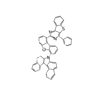 c1ccc(-c2nc(-c3cccc4oc5c(-n6c7c(c8c9ccccc9ccc86)-c6ccccc6CC7)cccc5c34)nc3c2sc2ccccc23)cc1